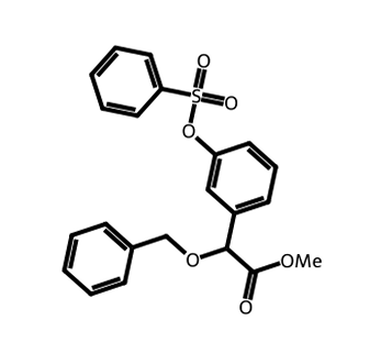 COC(=O)C(OCc1ccccc1)c1cccc(OS(=O)(=O)c2ccccc2)c1